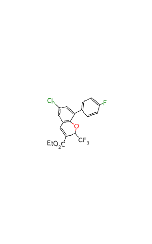 CCOC(=O)C1=Cc2cc(Cl)cc(-c3ccc(F)cc3)c2OC1C(F)(F)F